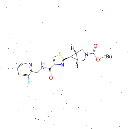 CC(C)(C)OC(=O)N1C[C@@H]2[C@H](C1)[C@H]2c1nc(C(=O)NCc2ncccc2F)cs1